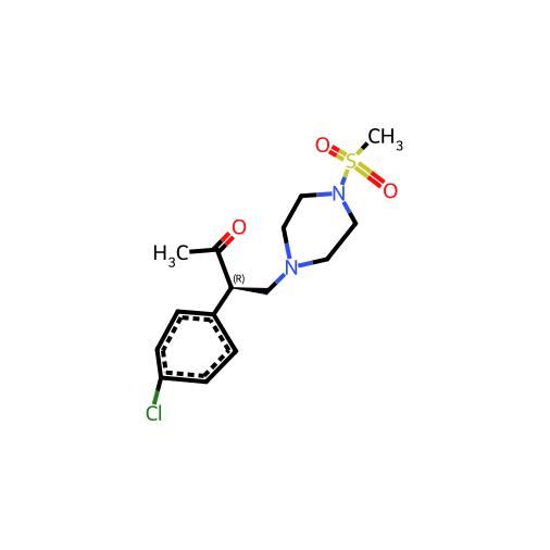 CC(=O)[C@@H](CN1CCN(S(C)(=O)=O)CC1)c1ccc(Cl)cc1